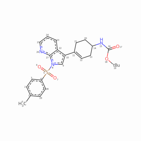 Cc1ccc(S(=O)(=O)n2cc(C3=CCC(NC(=O)OC(C)(C)C)CC3)c3cccnc32)cc1